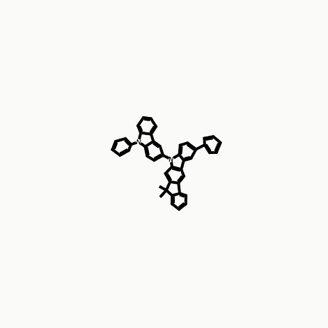 CC1(C)c2ccccc2-c2cc3c4cc(-c5ccccc5)ccc4n(-c4ccc5c(c4)c4ccccc4n5-c4ccccc4)c3cc21